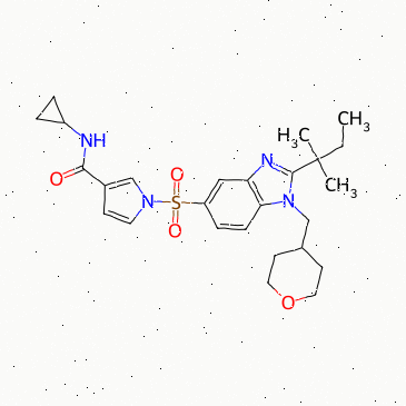 CCC(C)(C)c1nc2cc(S(=O)(=O)n3ccc(C(=O)NC4CC4)c3)ccc2n1CC1CCOCC1